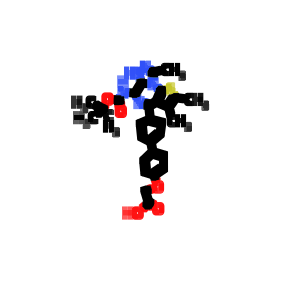 CC1=NNC2C(NC(=O)OC(C)(C)C)N=C(c3ccc(-c4ccc(OCC(=O)O)cc4)cc3)c3c(sc(C)c3C)N12